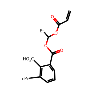 C=CC(=O)OC(CC)OC(=O)c1cccc(CCC)c1C(=O)O